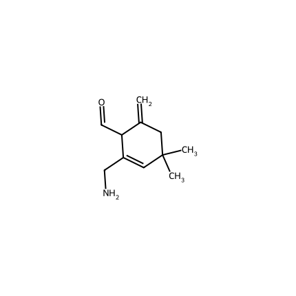 C=C1CC(C)(C)C=C(CN)C1C=O